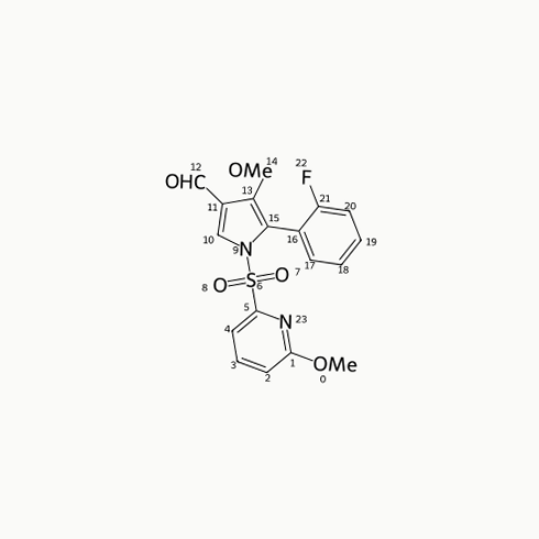 COc1cccc(S(=O)(=O)n2cc(C=O)c(OC)c2-c2ccccc2F)n1